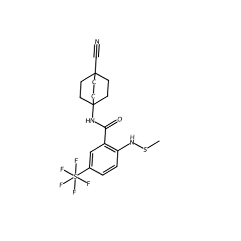 CSNc1ccc(S(F)(F)(F)(F)F)cc1C(=O)NC12CCC(C#N)(CC1)CC2